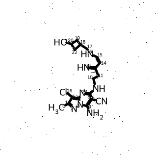 Cc1nn2c(N)c(C#N)c(NCCC(=N)/C=C\NCC3CC(O)C3)nc2c1Cl